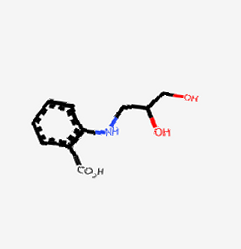 O=C(O)c1ccccc1NCC(O)CO